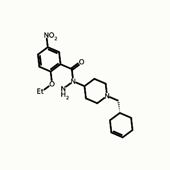 CCOc1ccc([N+](=O)[O-])cc1C(=O)N(N)C1CCN(C[C@H]2CC=CCC2)CC1